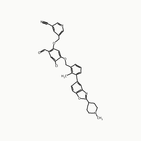 Cc1c(COc2cc(OCc3cncc(C#N)c3)c(C=O)cc2Cl)cccc1-c1ccc2oc(C3CCN(C)CC3)nc2c1